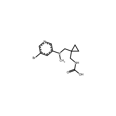 CN(CC1(CNC(=O)O)CC1)c1cncc(Br)c1